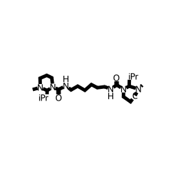 CC(C)C1N(C)CCCN1C(=O)NCCCCCCNC(=O)N1CCCN(C)C1C(C)C